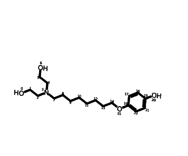 OCCN(CCO)CCCCCCCCOc1ccc(O)cc1